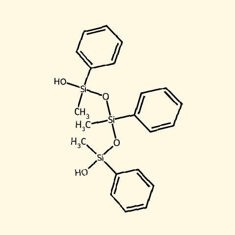 C[Si](O)(O[Si](C)(O[Si](C)(O)c1ccccc1)c1ccccc1)c1ccccc1